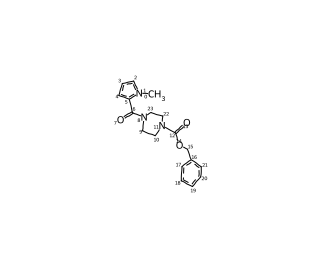 Cn1cccc1C(=O)N1CCN(C(=O)OCc2ccccc2)CC1